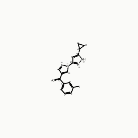 Cc1cccc(C(=O)c2cnn(-c3cc(C4CC4)[nH]n3)c2)c1